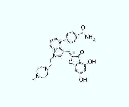 CN1CCN(CCn2cc(/C=C3\Oc4cc(O)cc(O)c4C3=O)c3c(-c4ccc(C(N)=O)cc4)cccc32)CC1